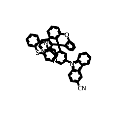 N#Cc1ccc2c(c1)c1ccccc1n2-c1cnc2c(c1)C1(c3ccccc3Oc3cccc(N4c5ccccc5Sc5ccccc54)c31)c1cccnc1-2